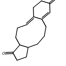 O=C1C=C2CCCC3CCC(=O)C3CC/C=C/2CC1